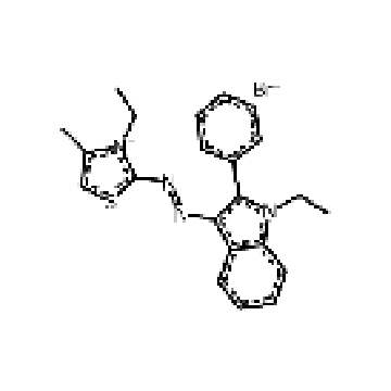 CCn1c(-c2ccccc2)c(N=Nc2scc(C)[n+]2CC)c2ccccc21.[Br-]